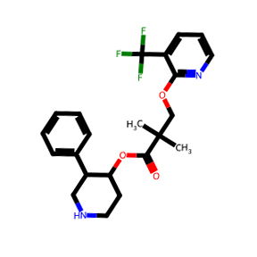 CC(C)(COc1ncccc1C(F)(F)F)C(=O)OC1CCNCC1c1ccccc1